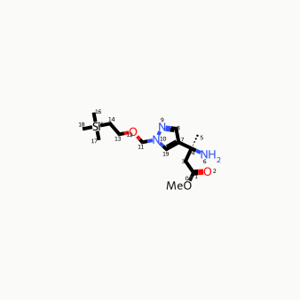 COC(=O)C[C@](C)(N)c1cnn(COCC[Si](C)(C)C)c1